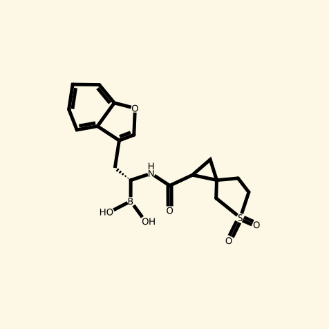 O=C(N[C@@H](Cc1coc2ccccc12)B(O)O)C1CC12CCS(=O)(=O)C2